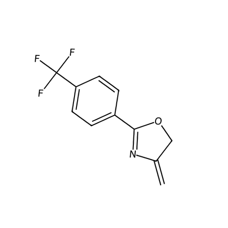 C=C1COC(c2ccc(C(F)(F)F)cc2)=N1